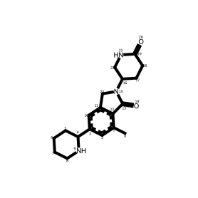 Cc1cc(C2CCCCN2)cc2c1C(=O)N(C1CCC(=O)NC1)C2